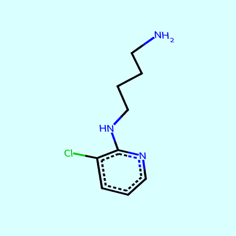 NCCCCNc1ncccc1Cl